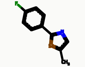 Cc1cnc(-c2ccc(F)cc2)s1